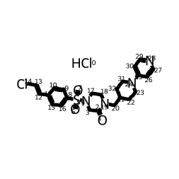 Cl.O=C1CN(S(=O)(=O)c2ccc(C=CCl)cc2)CCN1CC1CCN(c2ccncc2)CC1